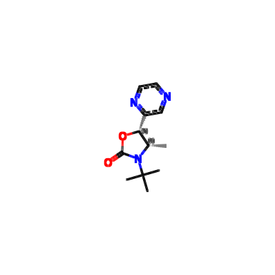 C[C@H]1[C@@H](c2cnccn2)OC(=O)N1C(C)(C)C